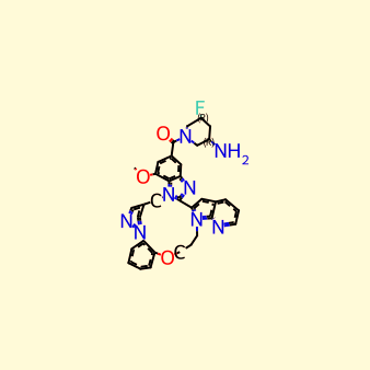 COc1cc(C(=O)N2C[C@H](N)C[C@@H](F)C2)cc2nc3n(c12)Cc1cnn(c1)-c1ccccc1OCCCn1c-3cc2cccnc21